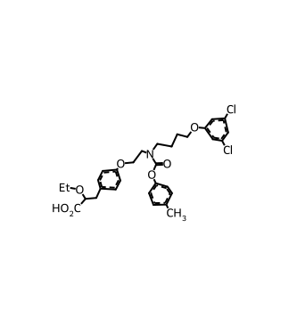 CCOC(Cc1ccc(OCCN(CCCCOc2cc(Cl)cc(Cl)c2)C(=O)Oc2ccc(C)cc2)cc1)C(=O)O